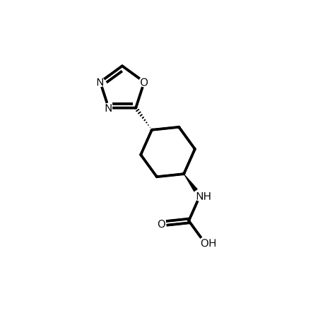 O=C(O)N[C@H]1CC[C@H](c2nnco2)CC1